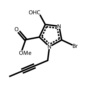 CC#CCn1c(Br)nc(C=O)c1C(=O)OC